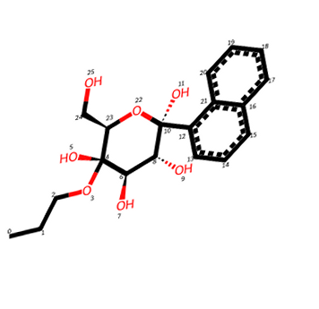 CCCO[C@@]1(O)[C@H](O)[C@@H](O)[C@](O)(c2cccc3ccccc23)O[C@@H]1CO